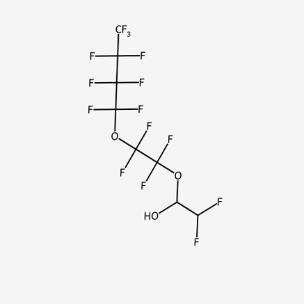 OC(OC(F)(F)C(F)(F)OC(F)(F)C(F)(F)C(F)(F)C(F)(F)F)C(F)F